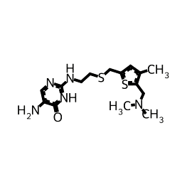 Cc1cc(CSCCNc2ncc(N)c(=O)[nH]2)sc1CN(C)C